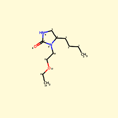 CCCCC1CNC(=O)N1CCOCC